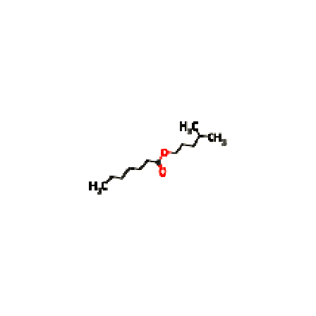 CCCCCCC(=O)OCCCC(C)C